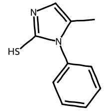 Cc1cnc(S)n1-c1ccccc1